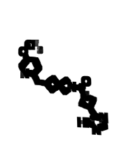 O=C(N1CC(c2ncn[nH]2)C1)N1CC2(CC(Cc3ccc(OC(F)(F)F)cn3)C2)C1